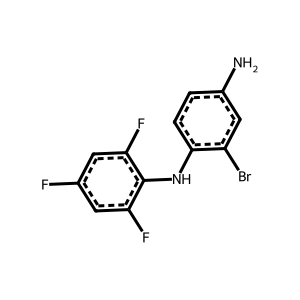 Nc1ccc(Nc2c(F)cc(F)cc2F)c(Br)c1